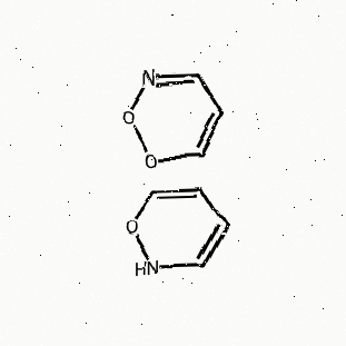 C1=CNOC=C1.C1=COON=C1